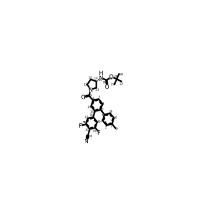 Cc1ccc(-c2ccc(C(=O)N3CC[C@H](NC(=O)OC(C)(C)C)C3)cc2-c2cc(F)c(C#N)c(F)c2)cc1